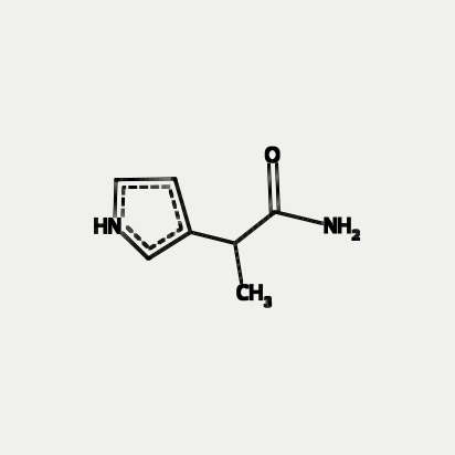 CC(C(N)=O)c1cc[nH]c1